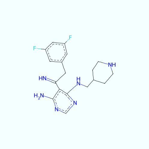 N=C(Cc1cc(F)cc(F)c1)c1c(N)ncnc1NCC1CCNCC1